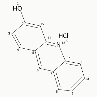 Cl.Oc1ccc2cc3ccccc3nc2c1